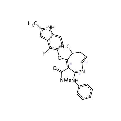 CNC(=O)C1=C(\Oc2ccc3[nH]c(C)cc3c2F)C(C)C/C=C/N=C\1Nc1ccccc1